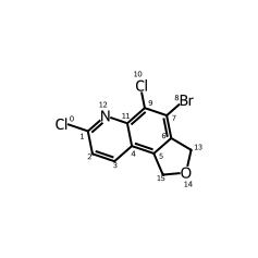 Clc1ccc2c3c(c(Br)c(Cl)c2n1)COC3